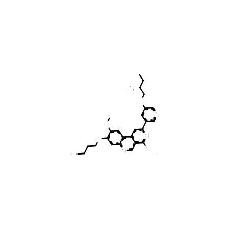 CC[C@@H](N)COc1cncc(-c2cc3c(cnc4cc(OCCCCl)c(OC)cc43)c(N)n2)c1